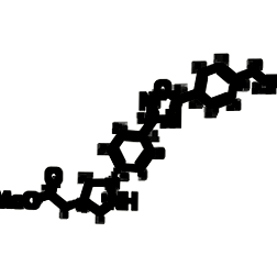 COC(=O)C[C@@H]1CN[C@@H](c2ccc(-c3noc(-c4ccc(CC(C)C)cc4)n3)cc2)C1